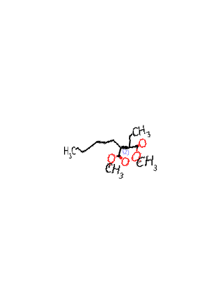 CCCCCC/C(C(=O)OC)=C(\CC)C(=O)OC